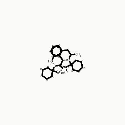 CCCCCC1(OC(C)Cc2cccc(O)c2CC(C)OC2(CCCCC)CCCCC2)CCCCC1